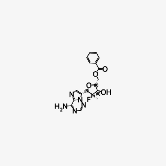 C[C@@]1(F)[C@H](O)[C@@H](COC(=O)c2ccccc2)O[C@H]1c1cnc2c(N)ncnn12